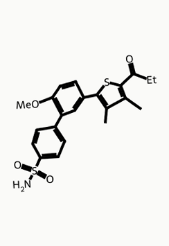 CCC(=O)c1sc(-c2ccc(OC)c(-c3ccc(S(N)(=O)=O)cc3)c2)c(C)c1C